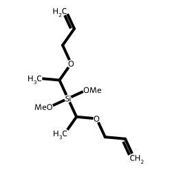 C=CCOC(C)[Si](OC)(OC)C(C)OCC=C